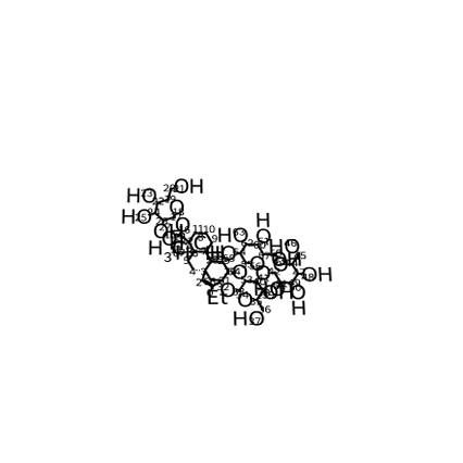 CCC1=C[C@@]23CC[C@H]4[C@@](C)(CCC[C@@]4(C)C(=O)OC4OC(CO)C(O)C(O)C4O)[C@@H]2CC[C@]1(OC1OC(CO)C(O)C(OC2OC(CO)C(O)C(O)C2O)C1OC1OC(CO)C(O)C(O)C1O)C3